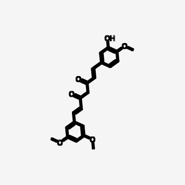 COc1cc(/C=C/C(=O)CC(=O)/C=C/c2ccc(OC)c(O)c2)cc(OC)c1